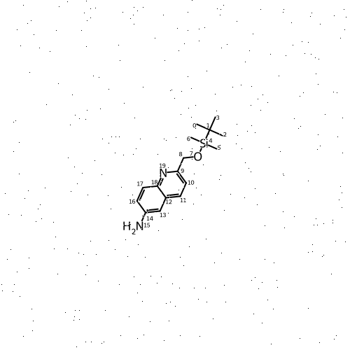 CC(C)(C)[Si](C)(C)OCc1ccc2cc(N)ccc2n1